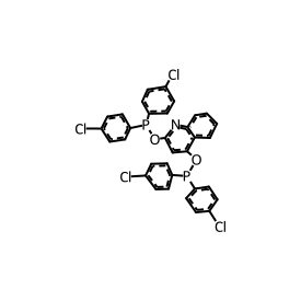 Clc1ccc(P(Oc2cc(OP(c3ccc(Cl)cc3)c3ccc(Cl)cc3)c3ccccc3n2)c2ccc(Cl)cc2)cc1